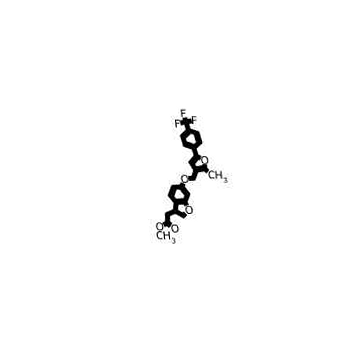 COC(=O)CC1COc2cc(OCc3cc(-c4ccc(C(F)(F)F)cc4)oc3C)ccc21